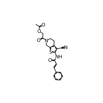 CC(=O)OCC(=O)N1CCc2c(sc(NC(=O)C=Cc3ccccc3)c2C#N)C1